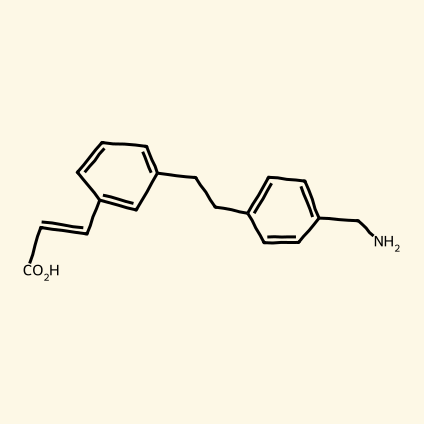 NCc1ccc(CCc2cccc(/C=C/C(=O)O)c2)cc1